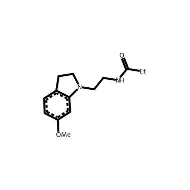 CCC(=O)NCCN1CCc2ccc(OC)cc21